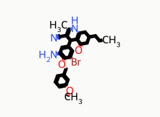 CCCC1CC(=O)C2=C(C1)NC(C)=C(C#N)C2c1cc(N)c(OCc2cccc(OC)c2)c(Br)c1